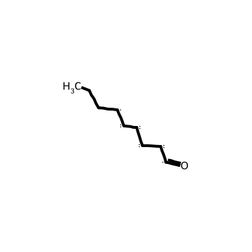 CCC[CH][C][C][C][C][C]=O